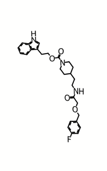 O=C(COCc1ccc(F)cc1)NCCC1CCN(C(=O)OCCc2c[nH]c3ccccc23)CC1